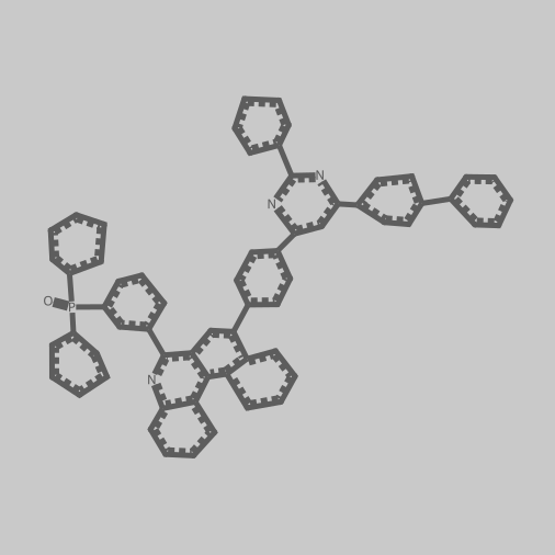 O=P(c1ccccc1)(c1ccccc1)c1cccc(-c2nc3ccccc3c3c2cc(-c2ccc(-c4cc(-c5ccc(-c6ccccc6)cc5)nc(-c5ccccc5)n4)cc2)c2ccccc23)c1